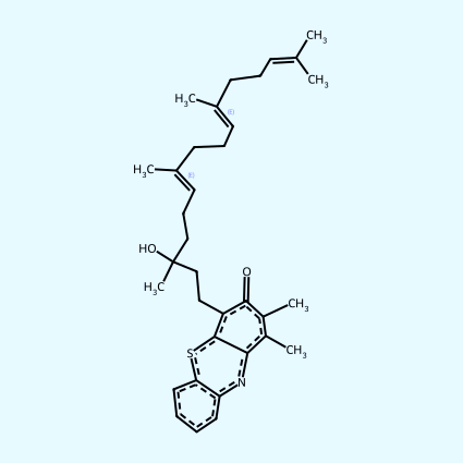 CC(C)=CCC/C(C)=C/CC/C(C)=C/CCC(C)(O)CCc1c2sc3ccccc3nc-2c(C)c(C)c1=O